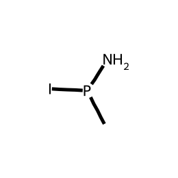 CP(N)I